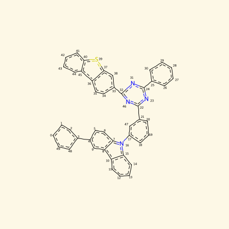 c1ccc(-c2ccc3c(c2)c2ccccc2n3-c2cccc(-c3nc(-c4ccccc4)nc(-c4ccc5c(c4)sc4ccccc45)n3)c2)cc1